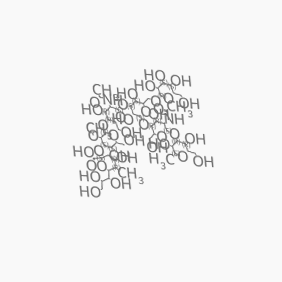 COC1[C@H](O[C@H]2C(CO)O[C@@H](O[C@@H]3C(O)[C@H](O[C@H]4C(CO)O[C@@H](O[C@@H]5C(O)[C@H](C)OC(CO)[C@H]5O)C(NC(C)=O)[C@H]4O)OC(CO[C@@H]4OC(CO)[C@@H](O)[C@H](O)C4O)[C@@H]3O)C(NC(C)=O)[C@H]2O)OC(CO)[C@H](O)[C@@H]1O[C@]1(C(=O)O)C[C@@H](O)[C@@H](C)C(C(O)C(O)CO)O1